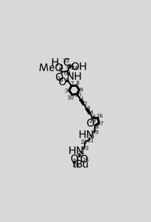 COC(=O)[C@@H](NC(=O)c1ccc(C#CC#Cc2ccc(CNCCCNC(=O)OC(C)(C)C)o2)cc1)[C@@H](C)O